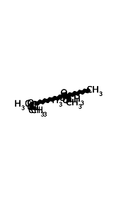 CCCCCCCCCC(C(=O)OCCCCCCCCCCC[Si](OC)(OC)OC)[Si](C)(C)C